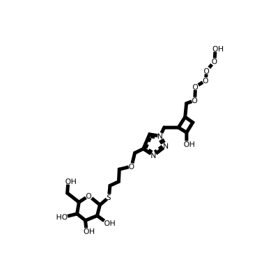 OCC1OC(SCCCOCc2cn(CC3C(O)CC3COOOOOO)nn2)C(O)C(O)C1O